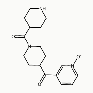 O=C(c1ccc[n+]([O-])c1)C1CCN(C(=O)C2CCNCC2)CC1